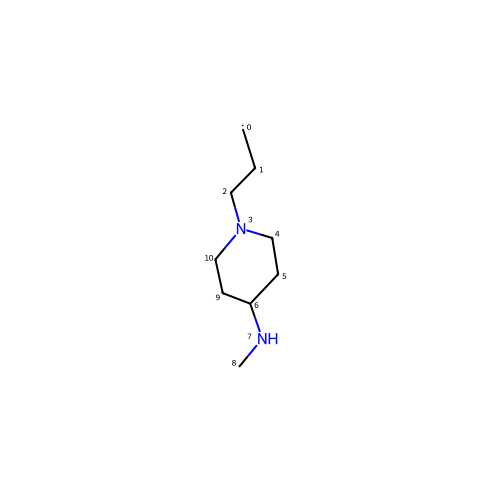 [CH2]CCN1CCC(NC)CC1